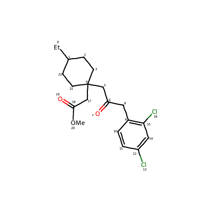 CCC1CCC(CC(=O)Cc2ccc(Cl)cc2Cl)(CC(=O)OC)CC1